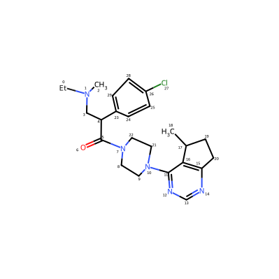 CCN(C)CC(C(=O)N1CCN(c2ncnc3c2C(C)CC3)CC1)c1ccc(Cl)cc1